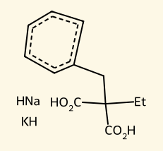 CCC(Cc1ccccc1)(C(=O)O)C(=O)O.[KH].[NaH]